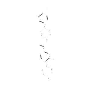 CCCCc1ccc(C2CCC(OC(=O)c3ccc(C4CCC(CC)CC4)c(F)c3F)CC2)c(F)c1